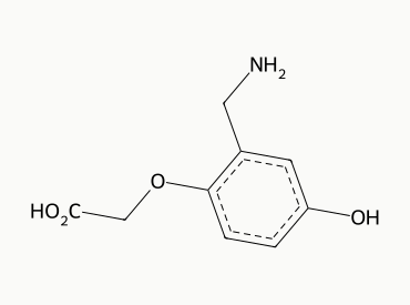 NCc1cc(O)ccc1OCC(=O)O